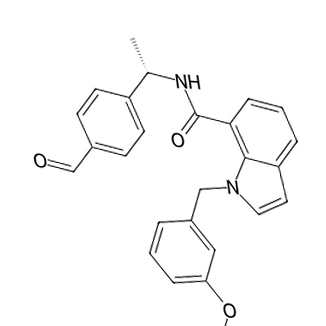 COc1cccc(Cn2ccc3cccc(C(=O)N[C@@H](C)c4ccc(C=O)cc4)c32)c1